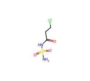 NS(=O)(=O)NC(=O)CCCl